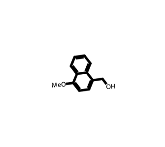 COc1ccc(CO)c2ccccc12